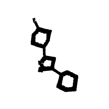 Fc1ccc(-c2cc(-c3ccccc3)[se]n2)cc1